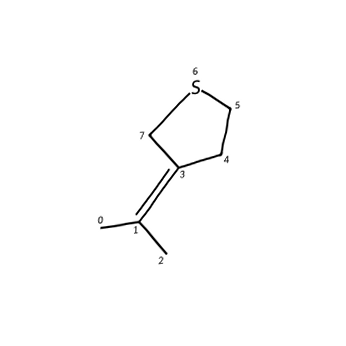 CC(C)=C1CCSC1